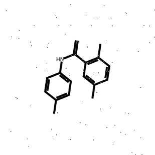 C=C(Nc1ccc(C)cc1)c1cc(C)ccc1C